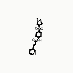 Cn1cc(S(=O)(=O)c2ccc(NC(=O)C=Cc3cccnc3)cc2)cn1